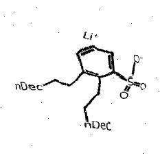 CCCCCCCCCCCCc1cccc(S(=O)(=O)[O-])c1CCCCCCCCCCCC.[Li+]